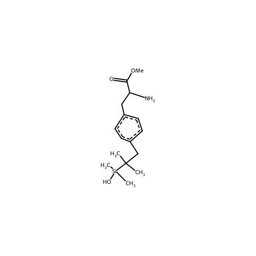 COC(=O)C(N)Cc1ccc(CC(C)(C)[Si](C)(C)O)cc1